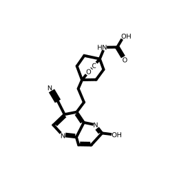 N#Cc1cnc2ccc(O)nc2c1CCC12CCC(NC(=O)O)(CC1)CO2